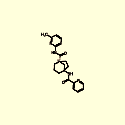 Cc1cccc(NC(=O)[C@]23CCCC(NC(=O)c4ccccn4)(CC2)C3)n1